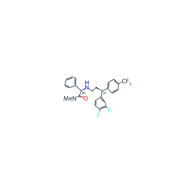 CNC(=O)[C@H](NCC[C@@H](c1ccc(C(F)(F)F)cc1)c1ccc(F)c(F)c1)c1ccccc1